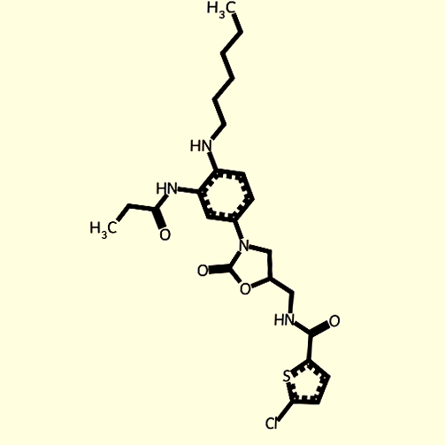 CCCCCCNc1ccc(N2CC(CNC(=O)c3ccc(Cl)s3)OC2=O)cc1NC(=O)CC